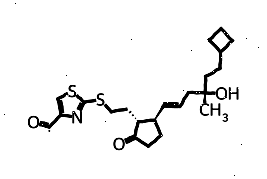 C[C@@](O)(C/C=C/[C@H]1CCC(=O)[C@@H]1CCSc1nc([C]=O)cs1)CCC1CCC1